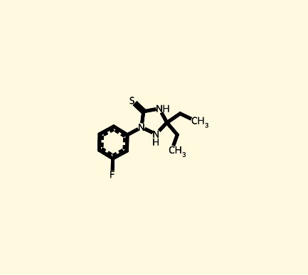 CCC1(CC)NC(=S)N(c2cccc(F)c2)N1